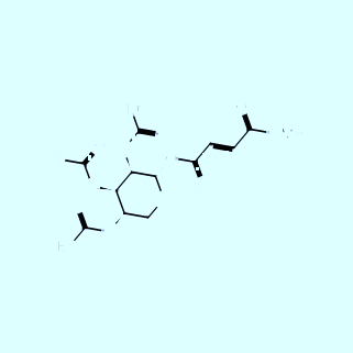 CCC(=O)O[C@H]1[C@H](OC(=O)/C=C/C(=O)OC)OC[C@@H](OC(=O)CC)[C@H]1OC(=O)CC